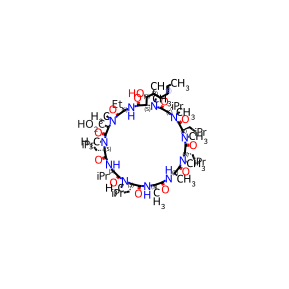 C/C=C/C[C@@H](C)[C@@H](O)[C@H]1C(=O)N[C@@H](CC)C(=O)N(C)C(C(=O)O)C(=O)N(C)[C@@H](CC(C)C)C(=O)N[C@@H](C(C)C)C(=O)N(C)[C@@H](CC(C)C)C(=O)N[C@@H](C)C(=O)N[C@H](C)C(=O)N(C)[C@@H](CC(C)C)C(=O)N(C)[C@H](CC(C)C)C(=O)N(C)[C@@H](C(C)C)C(=O)N1C